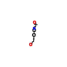 COCCCC#Cc1ccc(C2=CCN(CCC(C)(C)C=O)CC2)cc1